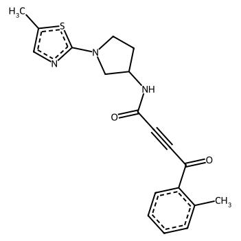 Cc1cnc(N2CCC(NC(=O)C#CC(=O)c3ccccc3C)C2)s1